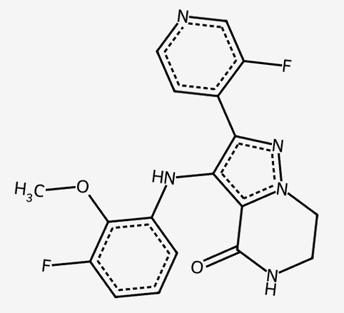 COc1c(F)cccc1Nc1c(-c2ccncc2F)nn2c1C(=O)NCC2